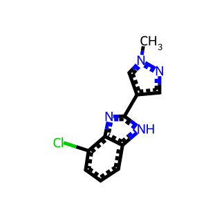 Cn1cc(-c2nc3c(Cl)cccc3[nH]2)cn1